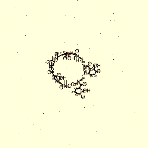 O=C1N[C@H]2COC[C@H]2NC(=O)c2ccc(n(O)c2=O)C(=O)NCCCN(C(=O)c2cccc(=O)n2O)CCCCN(C(=O)c2cccc(=O)n2O)CCCNC(=O)c2ccc1c(=O)n2O